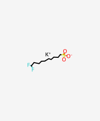 O=S(=O)([O-])CCCCCCCCCC(F)F.[K+]